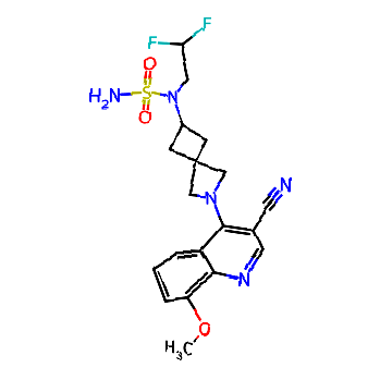 COc1cccc2c(N3CC4(CC(N(CC(F)F)S(N)(=O)=O)C4)C3)c(C#N)cnc12